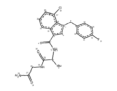 CC(C)(C)C(NC(=O)c1nn(Cc2ccc(F)cc2)c2c(Cl)cccc12)C(=O)NCC(N)=O